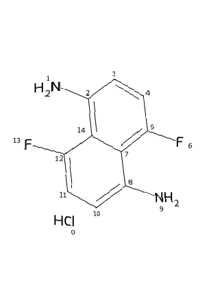 Cl.Nc1ccc(F)c2c(N)ccc(F)c12